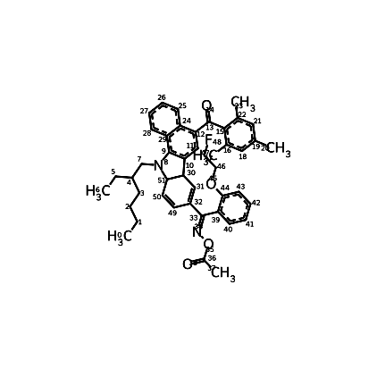 CCCCC(CC)CN1c2c(cc(C(=O)c3c(C)cc(C)cc3C)c3ccccc23)C2C=C(/C(=N/OC(C)=O)c3ccccc3OCCF)C=CC21